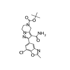 Cc1nc2cc(-c3nn4c(c3C(N)=O)CN(C(=O)OC(C)(C)C)CC4)cc(Cl)c2o1